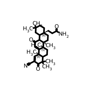 CC1(C)CC[C@]2(CCC(N)=O)CC[C@]3(C)C(C(=O)C=C4[C@@]5(C)C=C(C#N)C(=O)C(C)(C)C5CC[C@]43C)C2C1